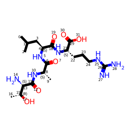 CC(C)C[C@H](NC(=O)[C@H](C)NC(=O)[C@@H](N)[C@@H](C)O)C(=O)N[C@@H](CCCNC(=N)N)C(=O)O